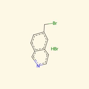 Br.BrCc1ccc2cnccc2c1